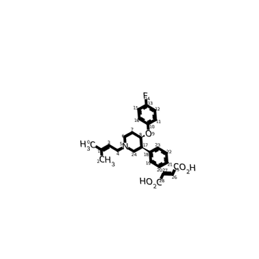 CC(C)=CCN1CC[C@H](Oc2ccc(F)cc2)[C@@H](c2ccccc2)C1.O=C(O)/C=C/C(=O)O